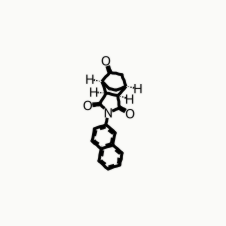 O=C1C[C@@H]2CC[C@H]1[C@@H]1C(=O)N(c3ccc4ccccc4c3)C(=O)[C@H]21